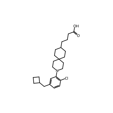 O=C(O)CCCC1CCC2(CC1)CCN(c1cc(CC3CCC3)ccc1Cl)CC2